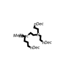 CCCCCCCCCCCCCCNC.CCCCCCCCCCCCN(CCCCCCCCCCCC)CCCCCCCCCCCC